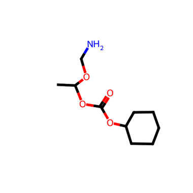 CC(OCN)OC(=O)OC1CCCCC1